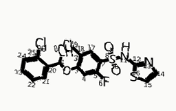 CC(Oc1cc(F)c(S(=O)(=O)Nc2nccs2)cc1Cl)c1ccccc1Cl